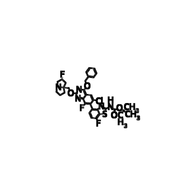 CC(C)(C)OC(=O)Nc1nc2c(-c3c(Cl)cc4c(OCc5ccccc5)nc(OC[C@@]56CCCN5C[C@H](F)C6)nc4c3F)ccc(F)c2s1